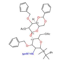 CC(=O)OCC1OC([Si](C)(C)C(C)(C)C(C)C)C(N=[N+]=[N-])C(OCc2ccccc2)[C@@H]1O[C@@H]1OC2COC(c3ccccc3)O[C@@H]2C(OCc2ccccc2)C1OC(C)=O